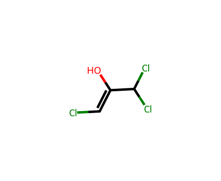 OC(=CCl)C(Cl)Cl